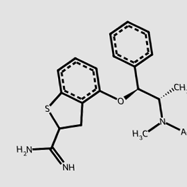 CC(=O)N(C)[C@@H](C)[C@@H](Oc1cccc2c1CC(C(=N)N)S2)c1ccccc1